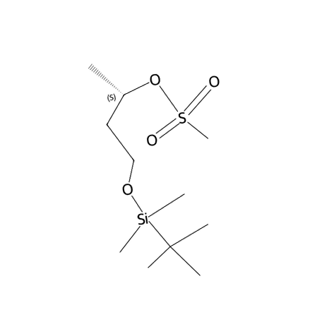 C[C@@H](CCO[Si](C)(C)C(C)(C)C)OS(C)(=O)=O